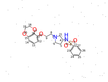 O=S(=O)(NC1CCN(CCOc2cccc3c2OCCO3)C1)c1ccccc1